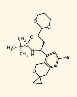 CC(C)(C)[S+]([O-])N[C@@H](CCC1OCCCO1)c1cc(Br)cc2c1COC1(CC1)C2